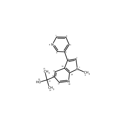 Cn1cc(-c2cccnc2)c2cc(C(C)(C)O)cnc21